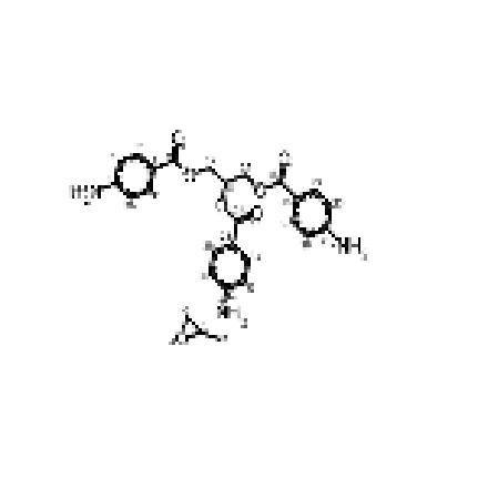 CC1CO1.Nc1ccc(C(=O)OCC(COC(=O)c2ccc(N)cc2)OC(=O)c2ccc(N)cc2)cc1